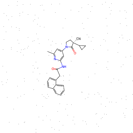 Cc1cc(N2CC[C@@](C#N)(C3CC3)C2=O)cc(NC(=O)Cc2cccc3ccccc23)n1